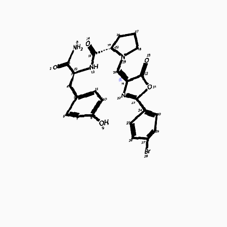 NC(=O)[C@H](Cc1ccc(O)cc1)NC(=O)[C@@H]1CCCN1/C=C1/N=C(c2ccc(Br)cc2)OC1=O